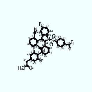 N#Cc1cccc(C#N)c1-c1c(-c2cccc(-c3c(F)cc(CC(=O)O)cc3F)c2)n(S(=O)(=O)c2ccc(C(F)F)cc2)c2ccc(F)cc12